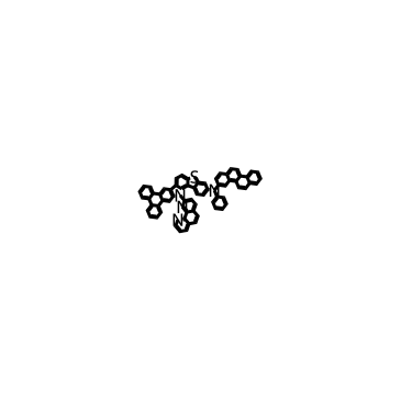 c1ccc(N(c2ccc3c(c2)sc2ccc4c5cc6c7ccccc7c7ccccc7c6cc5n(-c5ccc6ccc7cccnc7c6n5)c4c23)c2ccc3ccc4c5ccccc5ccc4c3c2)cc1